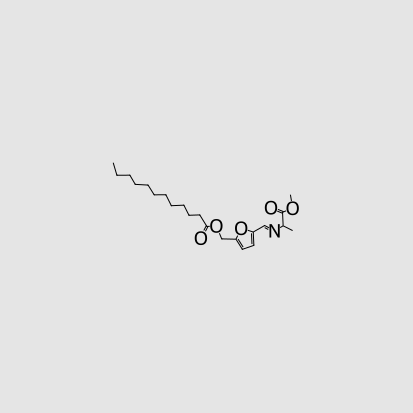 CCCCCCCCCCCC(=O)OCc1ccc(/C=N/C(C)C(=O)OC)o1